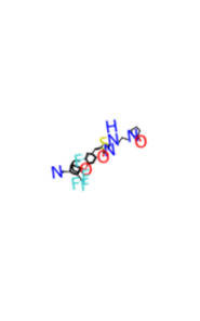 N#Cc1ccc(Oc2ccc(C=C3SC(NCCCN4CCCC4=O)=NC3=O)cc2F)c(C(F)(F)F)c1